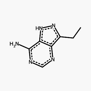 CCc1n[nH]c2c(N)ncnc12